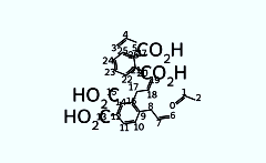 C=CC.C=CC.C=CCc1ccc(C(=O)O)c(C(=O)O)c1CC=C.O=C(O)c1ccccc1C(=O)O